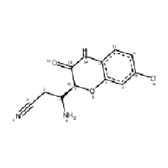 N#CCC(N)[C@@H]1Oc2cc(Cl)ccc2NC1=O